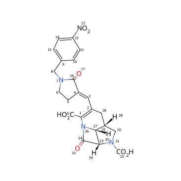 O=C(O)C1=C(/C=C2\CCN(Cc3ccc([N+](=O)[O-])cc3)C2=O)C[C@@H]2CN(C(=O)O)[C@@H]3C(=O)N1[C@H]23